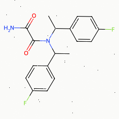 CC(c1ccc(F)cc1)N(C(=O)C(N)=O)C(C)c1ccc(F)cc1